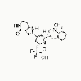 CN(C)c1ccccc1C=Cc1cc(-c2cc3c([nH]2)CCNC3=O)ccn1.O=C(O)C(F)(F)F